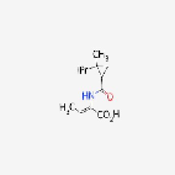 C/C=C(\NC(=O)C1CC1(C)C(C)C)C(=O)O